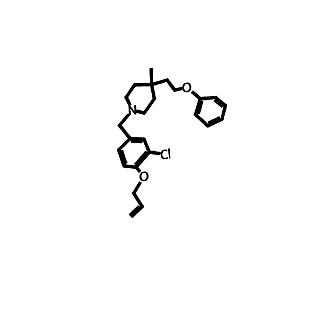 C=CCOc1ccc(CN2CCC(C)(CCOc3ccccc3)CC2)cc1Cl